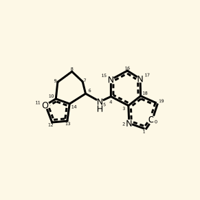 c1cnc2c(NC3CCCc4occc43)ncnc2c1